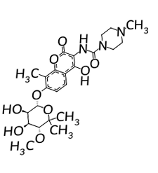 CO[C@@H]1[C@@H](O)[C@@H](O)[C@H](Oc2ccc3c(O)c(NC(=O)N4CCN(C)CC4)c(=O)oc3c2C)OC1(C)C